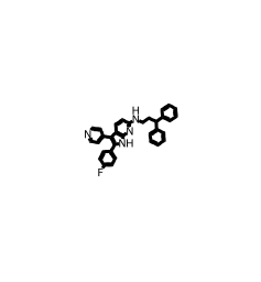 Fc1ccc(-c2[nH]c3nc(NCCC(c4ccccc4)c4ccccc4)ccc3c2-c2ccncc2)cc1